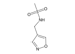 CS(=O)(=O)NCc1[c]noc1